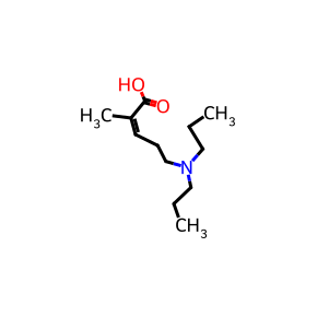 CCCN(CCC)CCC=C(C)C(=O)O